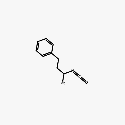 CCC(CCc1ccccc1)N=C=O